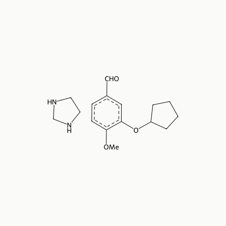 C1CNCN1.COc1ccc(C=O)cc1OC1CCCC1